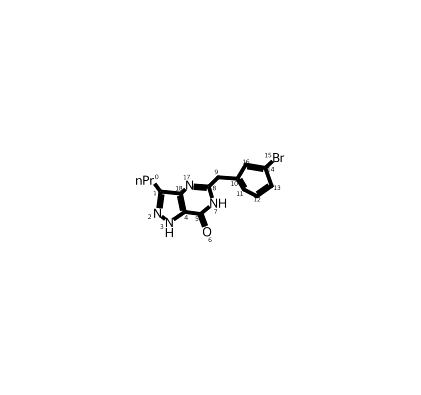 CCCc1n[nH]c2c(=O)[nH]c(Cc3cccc(Br)c3)nc12